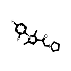 Cc1cc(C(=O)CN2CCCC2)c(C)n1-c1ccc(F)cc1F